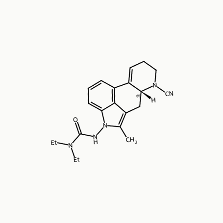 CCN(CC)C(=O)Nn1c(C)c2c3c(cccc31)C1=CCCN(C#N)[C@@H]1C2